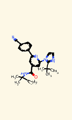 CC(C)(C)NC(=O)c1cc(-c2ccc(C#N)cc2)nc(-n2ccnc2C(C)(C)C)c1